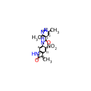 Cc1cc(C(=O)Nc2cc3c(cc2[N+](=O)[O-])C(C)C(=O)N3)c(C)nn1